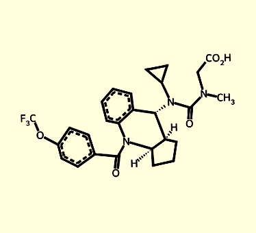 CN(CC(=O)O)C(=O)N(C1CC1)[C@H]1c2ccccc2N(C(=O)c2ccc(OC(F)(F)F)cc2)[C@@H]2CCC[C@@H]21